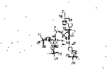 CC1CC(C)(C)C(CC(C)(C#CC(C)(C)OOC(C)(C)C)OOC(C)(C)C)C(OOC(C)(C)C)(OOC(C)(C)C)C1